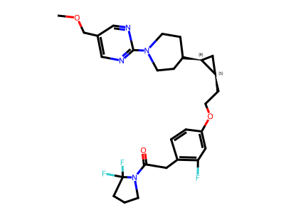 COCc1cnc(N2CCC([C@H]3C[C@H]3CCOc3ccc(CC(=O)N4CCCC4(F)F)c(F)c3)CC2)nc1